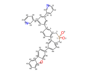 O=S1(=O)Cc2cc(-c3cc(-c4cccnc4)cc(-c4cccnc4)c3)ccc2-c2cc(-c3ccc4c(c3)oc3ccccc34)ccc2C1